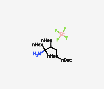 CCCCCCCCCCCCC(CCCCCC)C([NH3+])(CCCCCC)CCCCCC.F[B-](F)(F)F